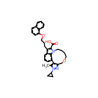 Cc1c2c(nn1C1CC1)COCCCCn1c(C(=O)O)c(CCCOc3cccc4ccccc34)c3cccc-2c31